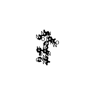 COc1ccncc1-c1cc2c(cnn2-c2cc3c(C)c(C(=O)N(C)C)n(C)c3c(N3CCOC(Cc4nc(-c5cnccc5OC)cc5c4cnn5-c4cc5c(C)c(C)n(C)c5c(N5CCOCC5)n4)C3)n2)c(C)n1